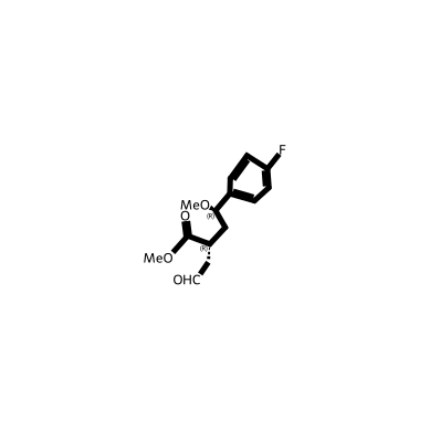 COC(=O)[C@@H](CC=O)C[C@@H](OC)c1ccc(F)cc1